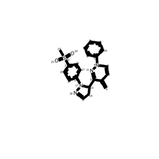 C=C1C=CN(c2ccccc2)N=C1C1CC=NN1c1ccc(S(C)(=O)=O)cc1